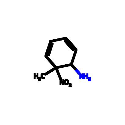 CC1([N+](=O)[O-])C=CC=CC1N